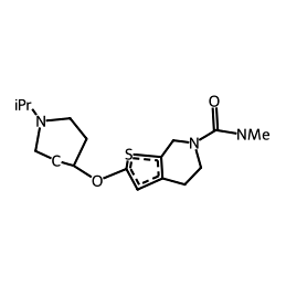 CNC(=O)N1CCc2cc(OC3CCN(C(C)C)CC3)sc2C1